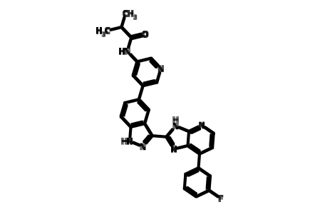 CC(C)C(=O)Nc1cncc(-c2ccc3[nH]nc(-c4nc5c(-c6cccc(F)c6)ccnc5[nH]4)c3c2)c1